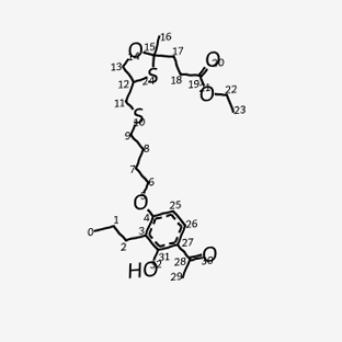 CCCc1c(OCCCCSCC2COC(C)(CCC(=O)OCC)S2)ccc(C(C)=O)c1O